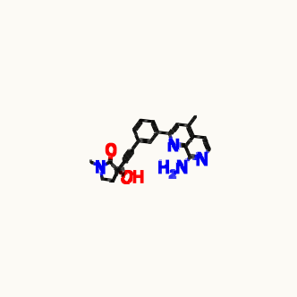 Cc1cc(-c2cccc(C#C[C@]3(O)CCN(C)C3=O)c2)nc2c(N)nccc12